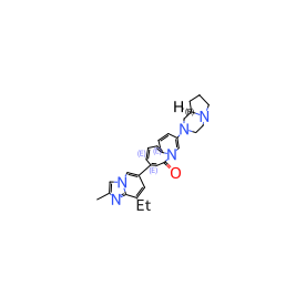 CCc1cc(C2=C\C(=O)N3C=C(N4CCN5CCC[C@@H]5C4)C=C\C3=C/C=C/2)cn2cc(C)nc12